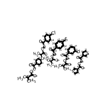 CC(C)C(=O)OOC(=O)c1ccc(Cl)cc1.CC(C)C(=O)OOC(=O)c1ccc(F)cc1.CC(C)C(=O)OOC(=O)c1cccc(Cl)c1.CC(C)C(=O)OOC(=O)c1ccccc1.O=C(OOC(=O)c1ccsc1)c1ccsc1